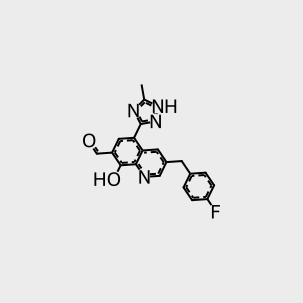 Cc1nc(-c2cc(C=O)c(O)c3ncc(Cc4ccc(F)cc4)cc23)n[nH]1